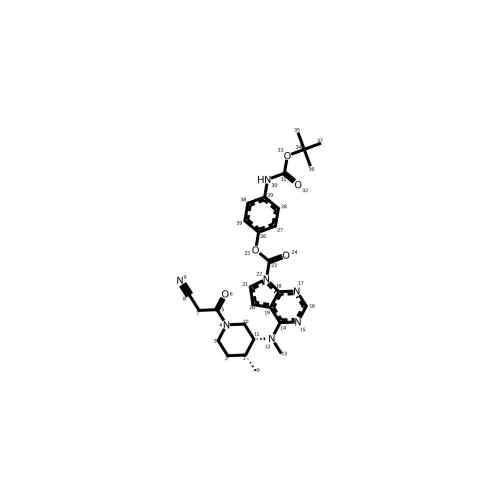 C[C@@H]1CCN(C(=O)CC#N)C[C@@H]1N(C)c1ncnc2c1ccn2C(=O)Oc1ccc(NC(=O)OC(C)(C)C)cc1